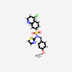 COc1ccc(CN(c2nccs2)S(=O)(=O)c2ccc3c(Cl)ccnc3c2)cc1